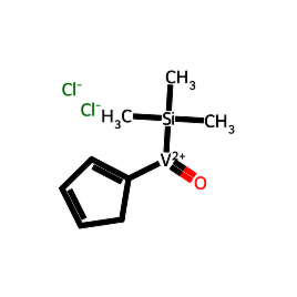 C[Si](C)(C)[V+2](=[O])[C]1=CC=CC1.[Cl-].[Cl-]